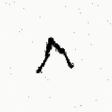 C=CC(=O)OCCCCCCCCOc1ccc(C(=O)Oc2ccc(C(=O)Oc3ccccc3OC(=O)c3ccc(OC(=O)c4ccc(OCCCCCCCCOC(=O)C=C)cc4)cc3)cc2)cc1